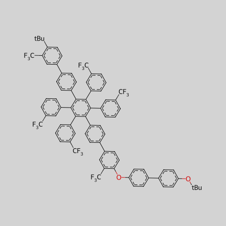 CC(C)(C)Oc1ccc(-c2ccc(Oc3ccc(-c4ccc(-c5c(-c6cccc(C(F)(F)F)c6)c(-c6cccc(C(F)(F)F)c6)c(-c6ccc(-c7ccc(C(C)(C)C)c(C(F)(F)F)c7)cc6)c(-c6cccc(C(F)(F)F)c6)c5-c5cccc(C(F)(F)F)c5)cc4)cc3C(F)(F)F)cc2)cc1